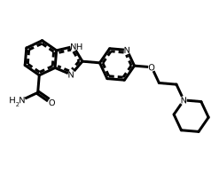 NC(=O)c1cccc2[nH]c(-c3ccc(OCCN4CCCCC4)nc3)nc12